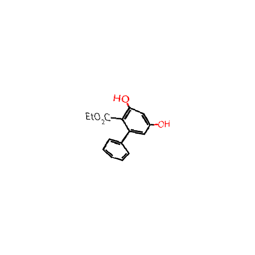 CCOC(=O)c1c(O)cc(O)cc1-c1ccccc1